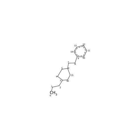 CCCC1CCC(CCc2cc[c]cc2)CC1